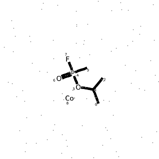 CC(C)OP(C)(=O)F.[Co]